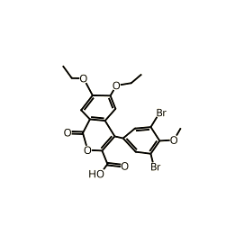 CCOc1cc2c(-c3cc(Br)c(OC)c(Br)c3)c(C(=O)O)oc(=O)c2cc1OCC